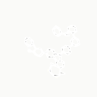 C=C1/C=C\C=C/Oc2c1ccc1c2c2cc(C3=CC=C4Oc5ccccc5C4C3)ccc2n1-c1ccc(-c2cccc(-c3ccccc3Nc3ccccc3)c2)cc1